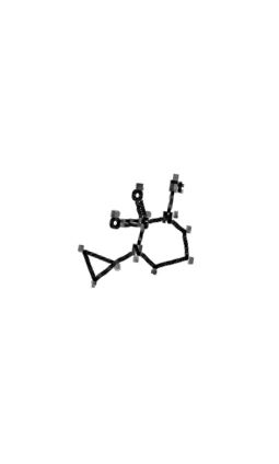 CCN1CCCN(C2CC2)S1(=O)=O